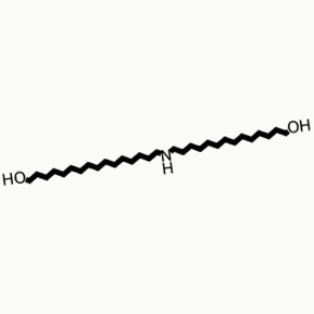 OCCCCCCCCCCCCCCCCNCCCCCCCCCCCCCCO